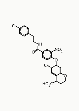 O=C(NCCc1ccc(Cl)cc1)c1ccc(OC2C=C3OCCC(C(=O)O)C3=C[C@H]2Cl)c([N+](=O)[O-])c1